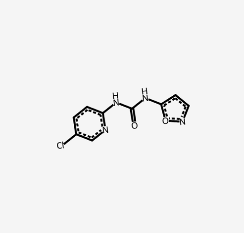 O=C(Nc1ccc(Cl)cn1)Nc1ccno1